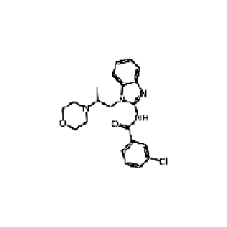 CC(Cn1c(NC(=O)c2cccc(Cl)c2)nc2ccccc21)N1CCOCC1